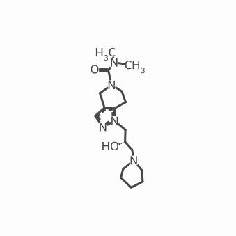 CN(C)C(=O)N1CCc2c(cnn2C[C@@H](O)CN2CCCCC2)C1